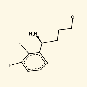 N[C@@H](CCCO)c1cccc(F)c1F